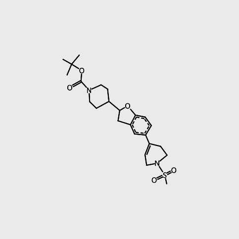 CC(C)(C)OC(=O)N1CCC(C2Cc3cc(C4=CCN(S(C)(=O)=O)CC4)ccc3O2)CC1